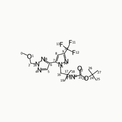 COCn1ncc(-c2cc(C(F)(F)F)nn2CC(C)(C)NC(=O)OC(C)(C)C)n1